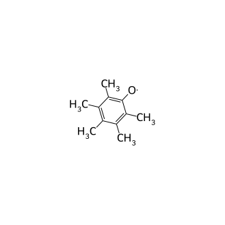 Cc1c(C)c(C)c([O])c(C)c1C